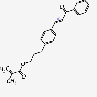 C=C(C)C(=O)OCCCc1ccc(/C=C/C(=O)c2ccccc2)cc1